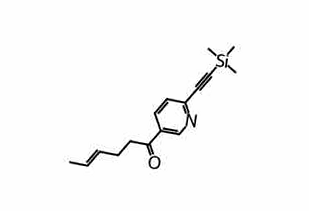 CC=CCCC(=O)c1ccc(C#C[Si](C)(C)C)nc1